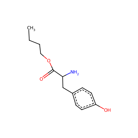 CCCCOC(=O)C(N)Cc1ccc(O)cc1